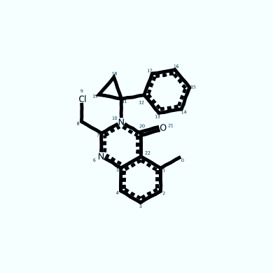 Cc1cccc2nc(CCl)n(C3(c4ccccc4)CC3)c(=O)c12